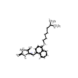 CCOC(=O)C(CCCCCOc1ccc(/C=C2/SC(=O)NC2=O)c2ccccc12)C(=O)OCC